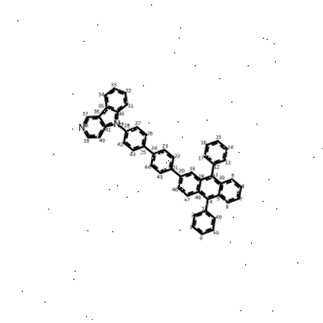 c1ccc(-c2c3ccccc3c(-c3ccccc3)c3cc(-c4ccc(-c5ccc(-n6c7ccccc7c7cnccc76)cc5)cc4)ccc23)cc1